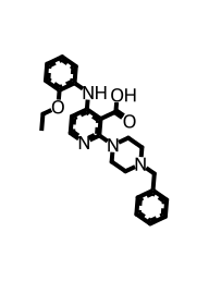 CCOc1ccccc1Nc1ccnc(N2CCN(Cc3ccccc3)CC2)c1C(=O)O